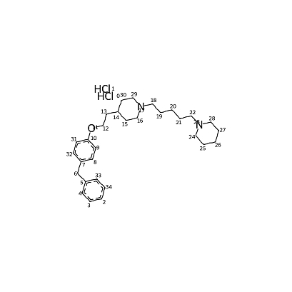 Cl.Cl.c1ccc(Cc2ccc(OCCC3CCN(CCCCCN4CCCCC4)CC3)cc2)cc1